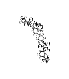 O=C(Nc1ccc(-c2ccc3c(NC(=O)c4ccsc4)n[nH]c3c2F)cc1)Nc1cccc(C(F)(F)F)c1